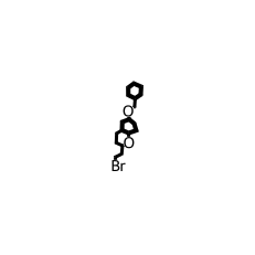 BrCCC1CCc2cc(OCc3ccccc3)ccc2O1